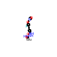 CC(C)(C)C1=CC(NC(=O)Nc2ccc(C#Cc3ccc(OCCN4CCOCC4)cc3F)cc2)NO1